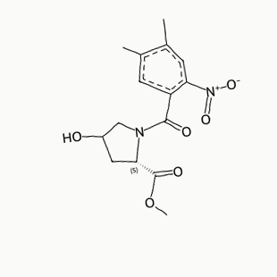 COC(=O)[C@@H]1CC(O)CN1C(=O)c1cc(C)c(C)cc1[N+](=O)[O-]